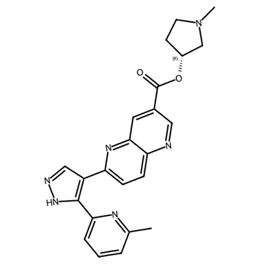 Cc1cccc(-c2[nH]ncc2-c2ccc3ncc(C(=O)O[C@@H]4CCN(C)C4)cc3n2)n1